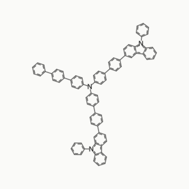 c1ccc(-c2ccc(-c3ccc(N(c4ccc(-c5ccc(-c6ccc7c(c6)c6ccccc6n7-c6ccccc6)cc5)cc4)c4ccc(-c5ccc(-c6ccc7c8ccccc8n(-c8ccccc8)c7c6)cc5)cc4)cc3)cc2)cc1